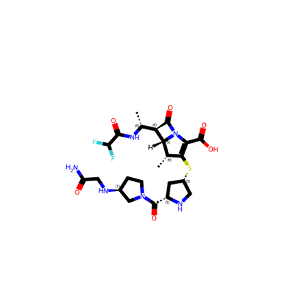 C[C@@H](NC(=O)C(F)F)[C@H]1C(=O)N2C(C(=O)O)=C(S[C@@H]3CN[C@H](C(=O)N4CC[C@H](NCC(N)=O)C4)C3)[C@H](C)[C@H]12